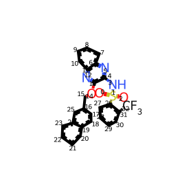 O=S(=O)(Nc1nc2ccccc2nc1OCc1ccc2ccccc2c1)c1ccccc1C(F)(F)F